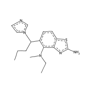 CCCC(c1ccc2sc(N)nc2c1N(C)CC)n1ccnc1